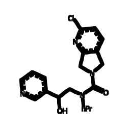 CCCN(CC(O)c1cccnc1)C(=O)N1Cc2ccc(Cl)nc2C1